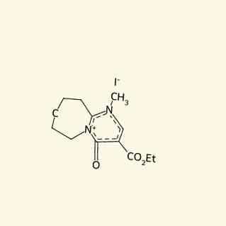 CCOC(=O)c1cn(C)c2[n+](c1=O)CCCCC2.[I-]